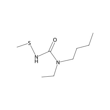 CCCCN(CC)C(=O)NSC